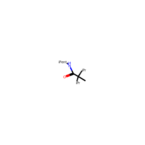 CCCC(C)NC(=O)C(C)(C(C)C)C(C)C